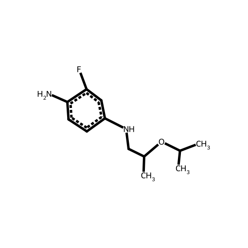 CC(C)OC(C)CNc1ccc(N)c(F)c1